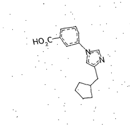 O=C(O)c1cccc(-n2cnc(CC3CCCC3)c2)c1